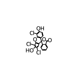 O=C1OC2(c3ccccc31)c1ccc(O)c(Cl)c1Oc1c2cc(Cl)c(O)c1Cl